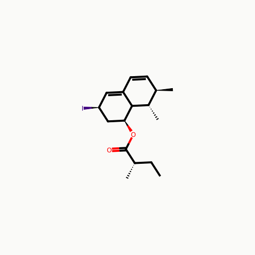 CC[C@H](C)C(=O)O[C@H]1C[C@@H](I)C=C2C=C[C@@H](C)[C@H](C)C21